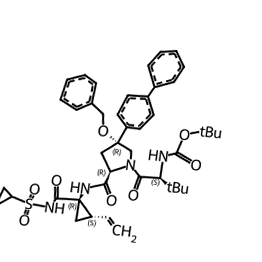 C=C[C@@H]1C[C@]1(NC(=O)[C@H]1C[C@@](OCc2ccccc2)(c2ccc(-c3ccccc3)cc2)CN1C(=O)[C@@H](NC(=O)OC(C)(C)C)C(C)(C)C)C(=O)NS(=O)(=O)C1CC1